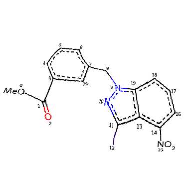 COC(=O)c1cccc(Cn2nc(I)c3c([N+](=O)[O-])cccc32)c1